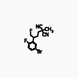 CC(C#N)(C#N)CCC(CF)c1cc(Br)ccc1F